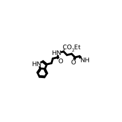 CCOC(=O)[C@H](CCC(=O)C=N)NC(=O)CCc1c[nH]c2ccccc12